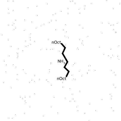 CCCCCCCCCCCCCCCCCCCCC.N